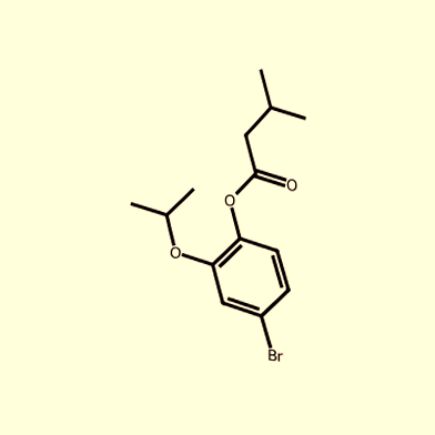 CC(C)CC(=O)Oc1ccc(Br)cc1OC(C)C